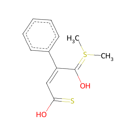 CS(C)=C(O)C(=CC(O)=S)c1ccccc1